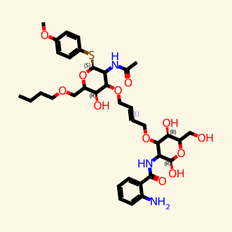 CCCCOCC1O[C@@H](Sc2ccc(OC)cc2)C(NC(C)=O)C(OC/C=C/COC2C(NC(=O)c3ccccc3N)[C@H](O)OC(CO)[C@@H]2O)[C@H]1O